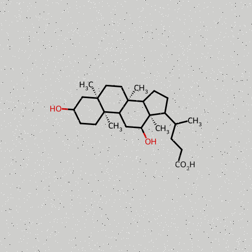 CC(CCC(=O)O)C1CCC2[C@]3(C)CC[C@]4(C)CC(O)CC[C@]4(C)C3CC(O)[C@]12C